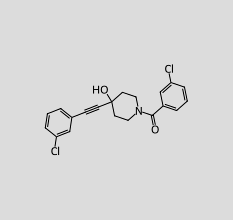 O=C(c1cccc(Cl)c1)N1CCC(O)(C#Cc2cccc(Cl)c2)CC1